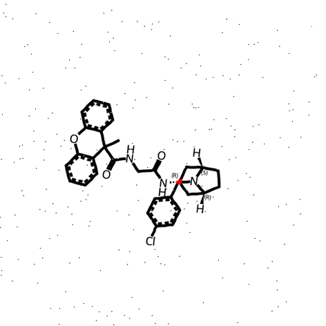 CC1(C(=O)NCC(=O)N[C@H]2C[C@H]3CC[C@@H](C2)N3Cc2ccc(Cl)cc2)c2ccccc2Oc2ccccc21